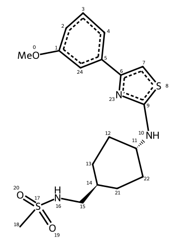 COc1cccc(-c2csc(N[C@H]3CC[C@H](CNS(C)(=O)=O)CC3)n2)c1